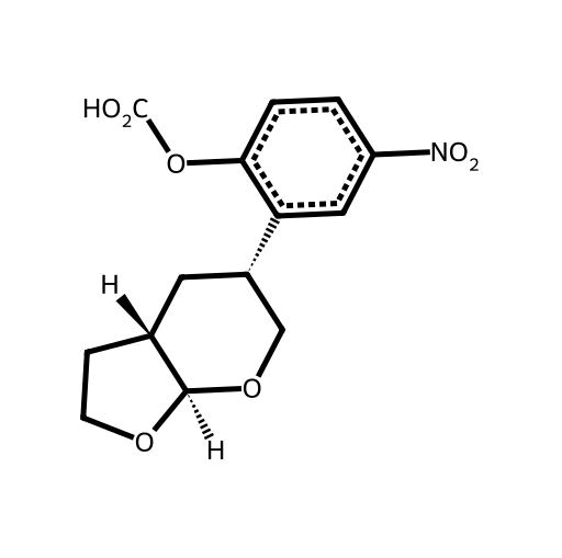 O=C(O)Oc1ccc([N+](=O)[O-])cc1[C@@H]1CO[C@H]2OCC[C@@H]2C1